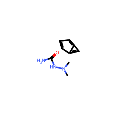 CN(C)NC(N)=O.c1cc2cc-2c1